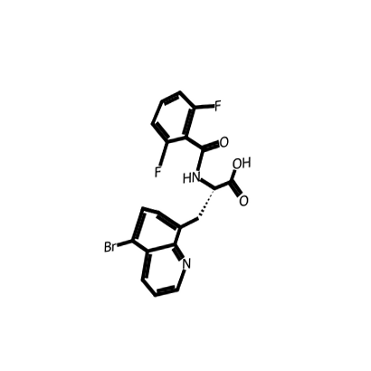 O=C(N[C@@H](Cc1ccc(Br)c2cccnc12)C(=O)O)c1c(F)cccc1F